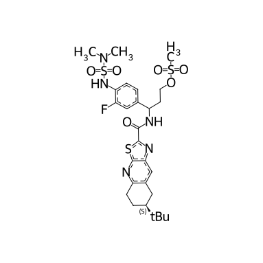 CN(C)S(=O)(=O)Nc1ccc(C(CCOS(C)(=O)=O)NC(=O)c2nc3cc4c(nc3s2)CC[C@H](C(C)(C)C)C4)cc1F